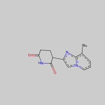 CC(C)(C)c1cccn2cc(C3CCC(=O)NC3=O)nc12